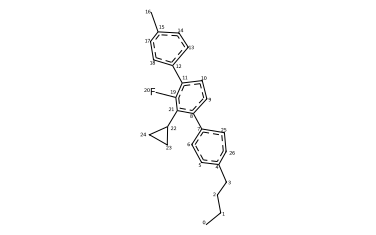 CCCCc1ccc(-c2ccc(-c3ccc(C)cc3)c(F)c2C2CC2)cc1